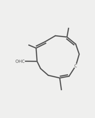 CC1=CCCC=C(C)CCC(C=O)C(C)=CC1